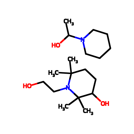 CC(O)N1CCCCC1.CC1(C)CCC(O)C(C)(C)N1CCO